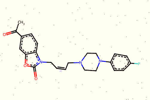 CC(=O)c1ccc2c(c1)oc(=O)n2C/C=C\CN1CCN(c2ccc(F)cc2)CC1